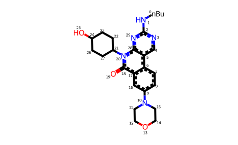 CCCCNc1ncc2c3ccc(N4CCOCC4)cc3c(=O)n(C3CCC(O)CC3)c2n1